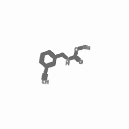 C#Cc1cccc(CNC(=O)OC(C)(C)C)c1